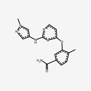 Cc1ccc(C(N)=O)cc1Oc1ccnc(Nc2cnn(C)c2)n1